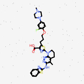 Cc1c(Nc2nc3ccccc3s2)nnc2c1CCCN2c1nc(C(=O)O)c(CCCOc2ccc(N3CCN(C)CC3)cc2F)s1